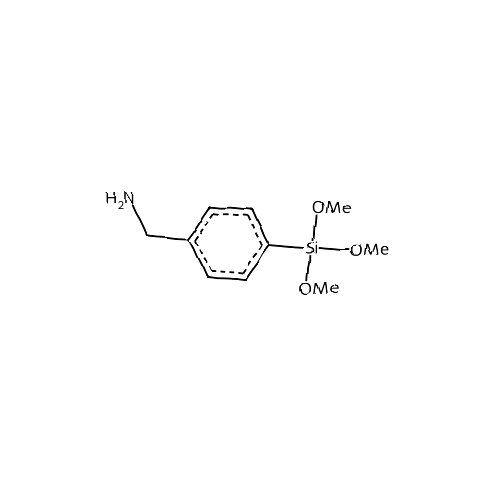 CO[Si](OC)(OC)c1ccc(CN)cc1